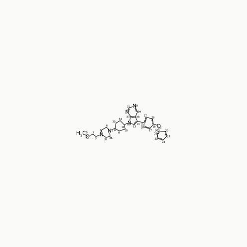 COCCN1CCN(C2CCC(n3cc(-c4ccc(Oc5ccccc5)cc4)c4[c]ncnc43)CC2)CC1